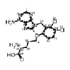 Nc1ncnc2c1ncn2Cc1c(OCCC[C@@H](N)C(=O)O)ccc(Cl)c1Cl